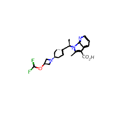 Cc1c(C(=O)O)c2cccnc2n1[C@H](C)[C@H]1CC[C@H](N2CC(OC(F)F)C2)CC1